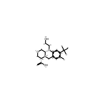 C=C(O)[C@@H]1COCCN1Cc1cc(C)c(C(C)(C)C)cc1OCCO